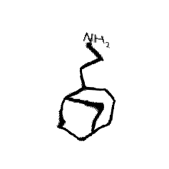 NCCC1CCCC2CCCC1CC2